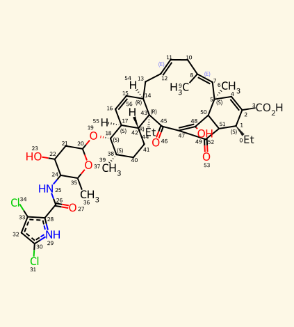 CC[C@@H]1C(C(=O)O)=C[C@]2(C)/C=C(\C)C/C=C/C[C@@H]3C=C[C@@H]4[C@@H](OC5CC(O)C(NC(=O)c6[nH]c(Cl)cc6Cl)C(C)O5)[C@@H](C)CC[C@H]4[C@]3(CC)C(=O)C3=C(O)C2C1C3=O